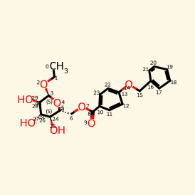 CCO[C@H]1O[C@H](COC(=O)c2ccc(OCc3ccccc3)cc2)[C@@H](O)[C@H](O)[C@H]1O